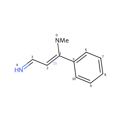 CN/C(=C\C=N)c1ccccc1